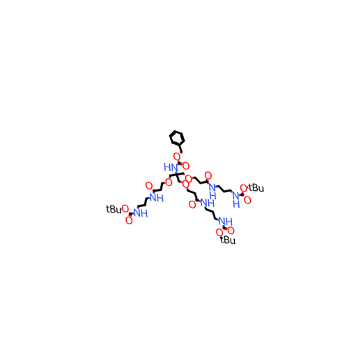 CC(C)(C)OC(=O)NCCCNC(=O)CCOCC(COCCC(=O)NCCCNC(=O)OC(C)(C)C)(COCCC(=O)NCCCNC(=O)OC(C)(C)C)NC(=O)OCc1ccccc1